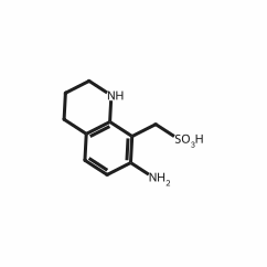 Nc1ccc2c(c1CS(=O)(=O)O)NCCC2